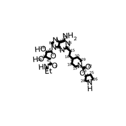 CCNC(=O)[C@H]1O[C@@H](n2cnc3c(N)nc(CCC4CCN(C(=O)OC5CCNC5)CC4)nc32)C(O)C1O